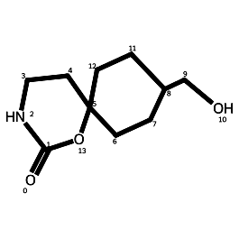 O=C1NCCC2(CCC(CO)CC2)O1